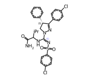 CC(C)C(N/C(=N\S(=O)(=O)c1ccc(Cl)cc1)N1C[C@H](c2ccccc2)C(c2ccc(Cl)cc2)=N1)C(N)=O